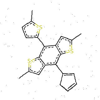 Cc1ccc(-c2c3cc(C)sc3c(C3=CC=CC3)c3cc(C)sc23)s1